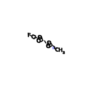 C/C=C/[C@H]1CO[C@H](CC[C@H]2CO[C@H](c3ccc(F)cc3)OC2)OC1